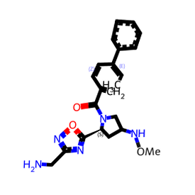 C=C(/C=C\C(=C/C)c1ccccc1)C(=O)N1CC(NOC)C[C@H]1c1nc(CN)no1